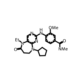 CCN1C(=O)CCN(C2CCCC2)c2nc(Nc3ccc(C(=O)NC)cc3OC)ncc21